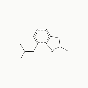 CC(C)Cc1cccc2c1OC(C)C2